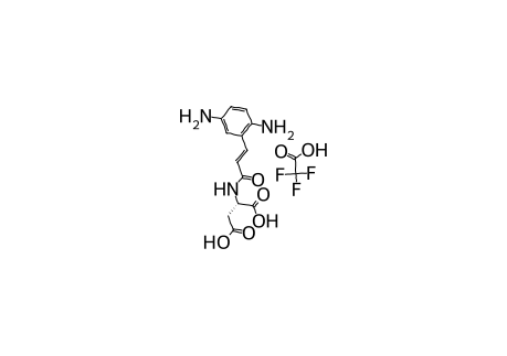 Nc1ccc(N)c(C=CC(=O)N[C@@H](CC(=O)O)C(=O)O)c1.O=C(O)C(F)(F)F